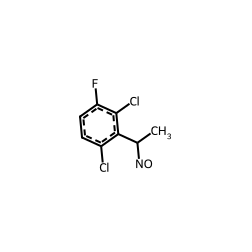 CC(N=O)c1c(Cl)ccc(F)c1Cl